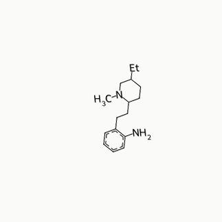 CCC1CCC(CCc2ccccc2N)N(C)C1